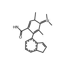 CC1=C(c2cccc3c2C=CC3)C(C([NH])=O)=CC(C)C1=[Si](C)C